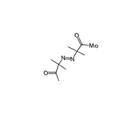 CC(=O)C(C)(C)N=NC(C)(C)[C](=O)[Mo]